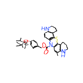 Cc1cc2c(c3c1NCCC3)Sc1c(ccc3c1CCCN3)N2C(=O)OCc1ccc(O[Si](C(C)C)(C(C)C)C(C)(C)C)cc1